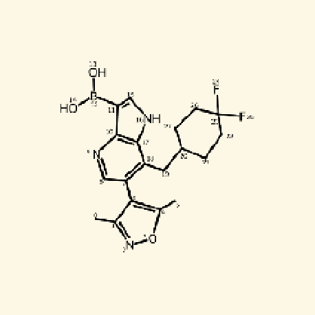 Cc1noc(C)c1-c1cnc2c(B(O)O)c[nH]c2c1CC1CCC(F)(F)CC1